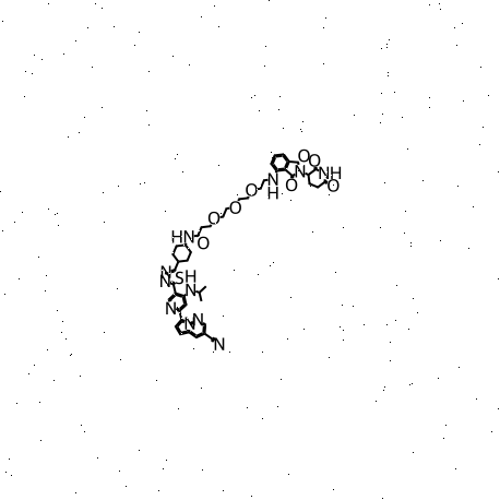 CC(C)Nc1cc(-c2ccc3cc(C#N)cnn23)ncc1-c1nnc(C2CCC(NC(=O)CCOCCOCCOCCNc3cccc4c3C(=O)N(C3CCC(=O)NC3=O)C4=O)CC2)s1